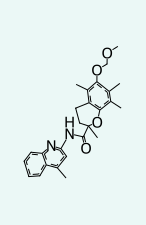 COCOc1c(C)c(C)c2c(c1C)CCC(C)(C(=O)Nc1cc(C)c3ccccc3n1)O2